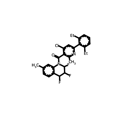 CCc1cccc(CC)c1-c1cc(Cl)c(C(=O)N2c3cc(C)ccc3C(F)C(F)C2F)c(C)n1